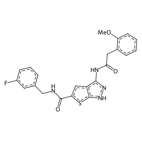 COc1ccccc1CC(=O)Nc1n[nH]c2sc(C(=O)NCc3cccc(F)c3)cc12